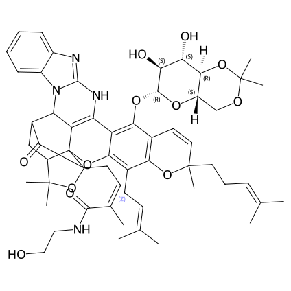 CC(C)=CCCC1(C)C=Cc2c(c(CC=C(C)C)c3c(c2O[C@H]2O[C@H]4COC(C)(C)O[C@@H]4[C@@H](O)[C@@H]2O)C2=C4C(C5CC6C(C)(C)OC(C/C=C(/C)C(=O)NCCO)(C5=O)C46O3)n3c(nc4ccccc43)N2)O1